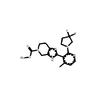 CC(C)(C)OC(=O)N1CCc2nc(-c3c(I)ccnc3N3CCC(F)(F)C3)[nH]c2C1